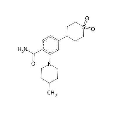 CC1CCN(c2cc(C3CCS(=O)(=O)CC3)ccc2C(N)=O)CC1